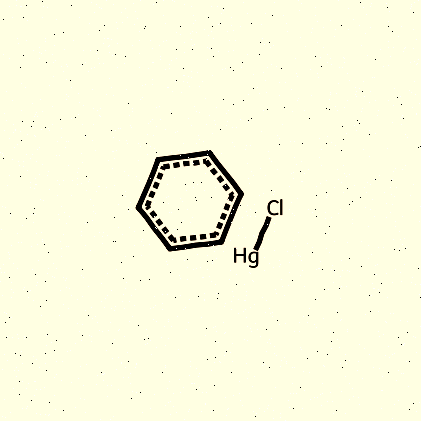 [Cl][Hg].c1ccccc1